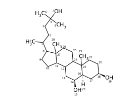 CC(CCC(C)(C)O)C1CCC2C3C[C@H](O)[C@@H]4C[C@H](O)CCC4(C)C3CCC12C